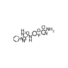 Nc1nccc(Oc2ccc(NC(=O)c3cnn(C4=CC=CC=CC4)c3N)cc2F)c1Cl